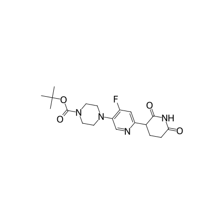 CC(C)(C)OC(=O)N1CCN(c2cnc(C3CCC(=O)NC3=O)cc2F)CC1